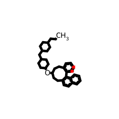 CCCC1CCC(CC2CCC(OC3CCc4ccc5ccccc5c4-c4c(ccc5ccccc45)CC3)CC2)CC1